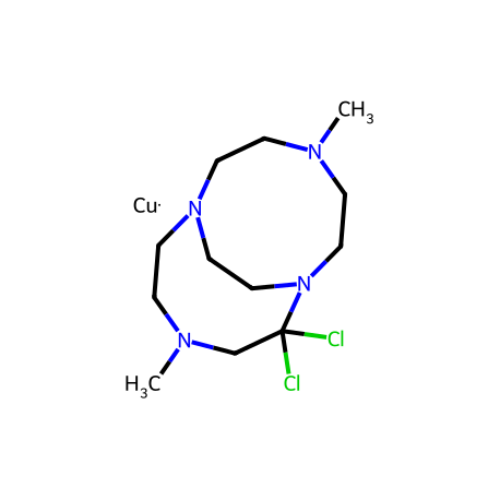 CN1CCN2CCN(C)CC(Cl)(Cl)N(CC1)CC2.[Cu]